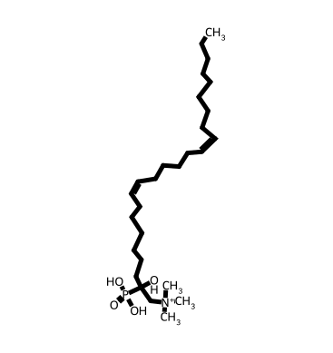 CCCCCCCC/C=C\CCCC/C=C\CCCCCCC(O)(C[N+](C)(C)C)P(=O)(O)O